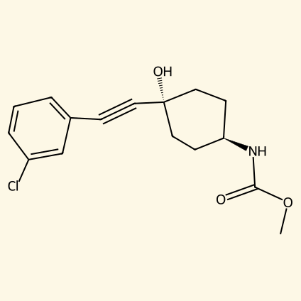 COC(=O)N[C@H]1CC[C@@](O)(C#Cc2cccc(Cl)c2)CC1